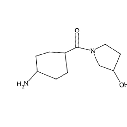 NC1CCC(C(=O)N2CCC(O)C2)CC1